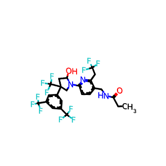 CCC(=O)NCc1ccc(N2CC(c3cc(C(F)(F)F)cc(C(F)(F)F)c3)(C(F)(F)F)CC2O)nc1CC(F)(F)F